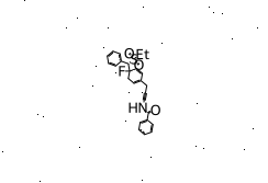 CCS(=O)(=O)C(c1ccccc1)C1(F)C=CC(CC#CNC(=O)c2ccccc2)=CC1